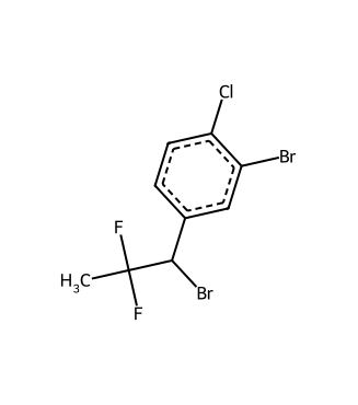 CC(F)(F)C(Br)c1ccc(Cl)c(Br)c1